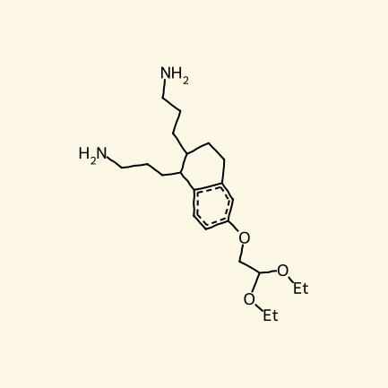 CCOC(COc1ccc2c(c1)CCC(CCCN)C2CCCN)OCC